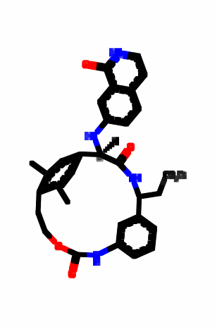 CCOC(=O)CC1NC(=O)[C@H](Nc2ccc3cc[nH]c(=O)c3c2)c2cc(C)c(c(C)c2)CCOC(=O)Nc2cccc1c2